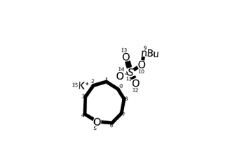 C1CCCCOCCC1.CCCCOS(=O)(=O)[O-].[K+]